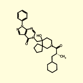 C[C@H](CC1CCCCC1)C(=O)N1CCC(O)(Cn2cnc3c(cnn3-c3ccccc3)c2=O)C2(CCCC2)C1